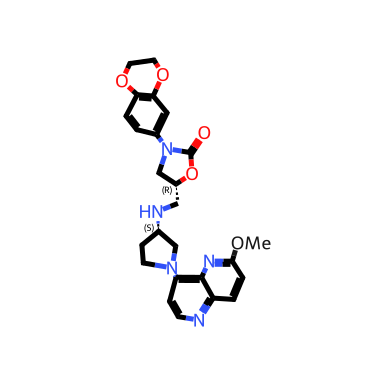 COc1ccc2nccc(N3CC[C@H](NC[C@@H]4CN(c5ccc6c(c5)OCCO6)C(=O)O4)C3)c2n1